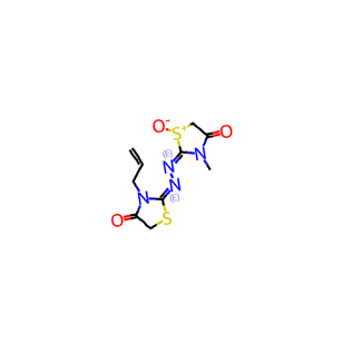 C=CCN1C(=O)CS/C1=N/N=C1\N(C)C(=O)C[S+]1[O-]